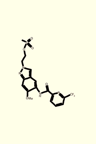 COc1cc2nn(CCOS(C)(=O)=O)cc2cc1NC(=O)c1cccc(C(F)(F)F)n1